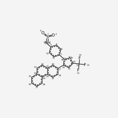 O=[SH](=O)Nc1ccc(-n2nc(C(F)(F)F)cc2-c2ccc3c(ccc4ccccc43)c2)cc1